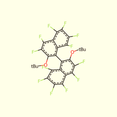 CC(C)(C)Oc1c(F)c(F)c2c(F)c(F)c(F)c(F)c2c1-c1c(OC(C)(C)C)c(F)c(F)c2c(F)c(F)c(F)c(F)c12